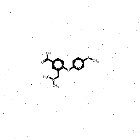 CSc1ccc(Oc2ccc(C(=O)O)cc2CN(C)C)cc1